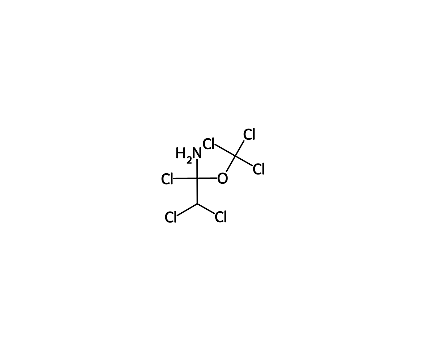 NC(Cl)(OC(Cl)(Cl)Cl)C(Cl)Cl